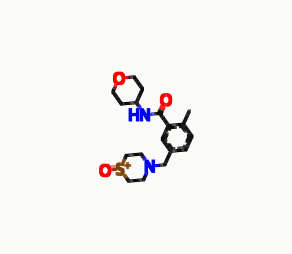 Cc1ccc(CN2CC[S+]([O-])CC2)cc1C(=O)NC1CCOCC1